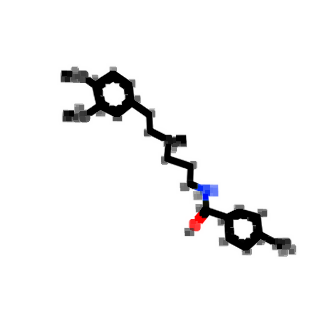 COc1ccc(CC[AsH]CCCNC(=O)c2ccc([N+](=O)[O-])cc2)cc1OC